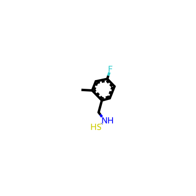 Cc1cc(F)ccc1CNS